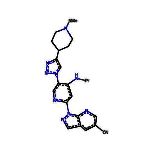 CSN1CCC(c2cn(-c3cnc(-n4ncc5cc(C#N)cnc54)cc3NC(C)C)nn2)CC1